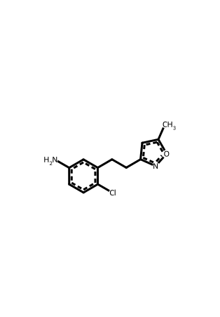 Cc1cc(CCc2cc(N)ccc2Cl)no1